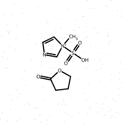 C[N+]1(S(=O)(=O)O)C=CN=C1.O=C1CCCO1